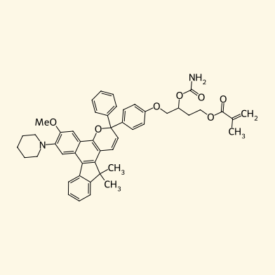 C=C(C)C(=O)OCCC(COc1ccc(C2(c3ccccc3)C=Cc3c4c(c5cc(N6CCCCC6)c(OC)cc5c3O2)-c2ccccc2C4(C)C)cc1)OC(N)=O